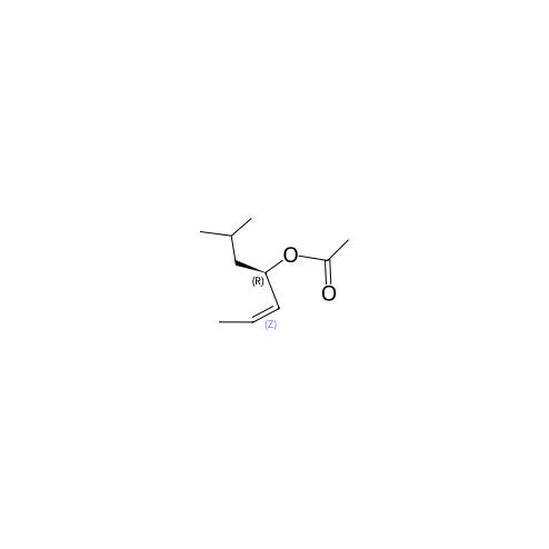 C/C=C\[C@@H](CC(C)C)OC(C)=O